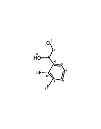 OC(CCl)c1cccc(F)c1F